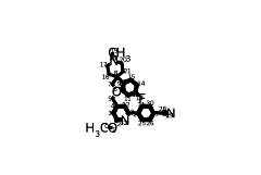 COc1cc(COCC2(c3ccc(F)cc3)CCN(C)CC2)cc(-c2ccc(C#N)cc2)n1